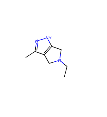 CCN1Cc2[nH]nc(C)c2C1